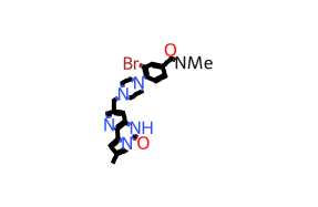 CNC(=O)c1ccc(N2CCN(Cc3cnc4c(c3)[nH]c(=O)n3cc(C)cc43)CC2)c(Br)c1